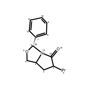 CC(C)C1CC2CO[C@H](c3ccccc3)N2C1=O